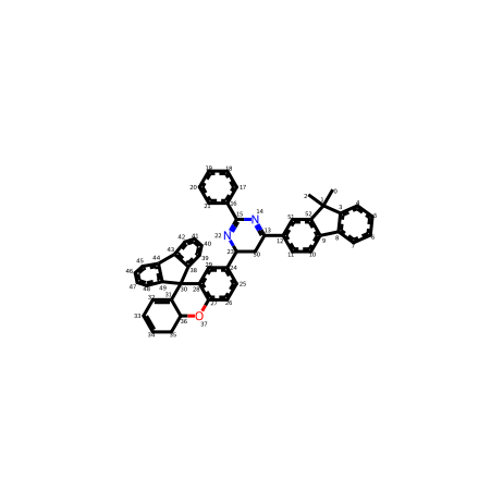 CC1(C)c2ccccc2-c2ccc(C3=NC(c4ccccc4)=NC(c4ccc5c(c4)C4(C6=CC=CCC6O5)c5ccccc5-c5ccccc54)C3)cc21